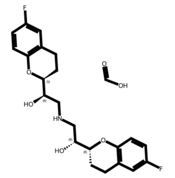 O=CO.O[C@H](CNC[C@@H](O)[C@H]1CCc2cc(F)ccc2O1)[C@@H]1CCc2cc(F)ccc2O1